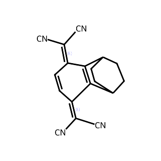 [C-]#[N+]/C(C#N)=c1\cc/c(=C(/C#N)[N+]#[C-])c2c1C1CCC2CC1